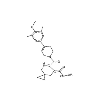 COc1c(C)cc(C2=CCN(C(=O)[C@H]3NCC4(CC4)C[C@@H]3C(=O)NO)CC2)cc1C